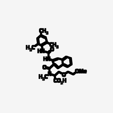 COCCOCC(C(=O)O)N(C)C(=O)c1cc2ccccc2cc1NC(=O)Nc1c(C)cc(C)cc1C